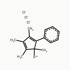 CC1=C(C)[C](C)([V+3])C(c2ccccc2)=C1C.[Cl-].[Cl-].[Cl-]